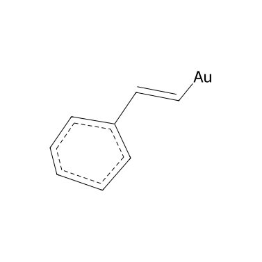 [Au][CH]=Cc1ccccc1